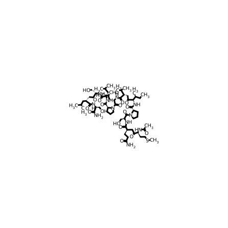 CC[C@H](C)[C@H](NC(=O)[C@@H]1CCCN1C(=O)[C@H](CO)NC(=O)[C@H](CCC(N)=O)CC(=O)[C@H](CCSC)NC(C)=O)C(=O)C[C@H](C(=O)N[C@@H](CC(C)C)C(=O)N1CCC[C@H]1C(=O)N[C@@H](CC(C)C)C(=O)N[C@@H](CO)C(=O)C[C@@H](CC(C)C)C(=O)N[C@@H](CO)C(N)=O)C(C)C